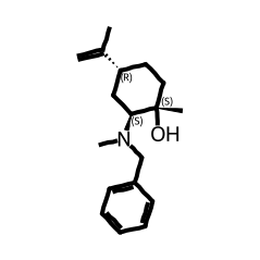 C=C(C)[C@@H]1CC[C@](C)(O)[C@@H](N(C)Cc2ccccc2)C1